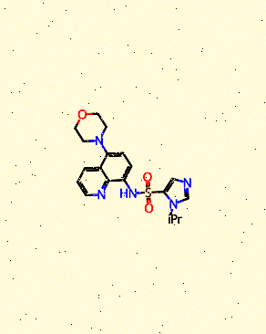 CC(C)n1cncc1S(=O)(=O)Nc1ccc(N2CCOCC2)c2cccnc12